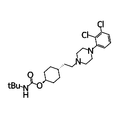 CC(C)(C)NC(=O)O[C@H]1CC[C@H](CCN2CCN(c3cccc(Cl)c3Cl)CC2)CC1